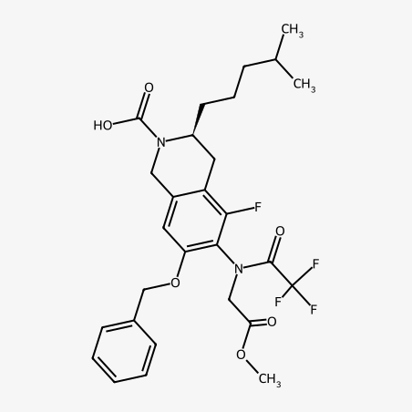 COC(=O)CN(C(=O)C(F)(F)F)c1c(OCc2ccccc2)cc2c(c1F)C[C@H](CCCC(C)C)N(C(=O)O)C2